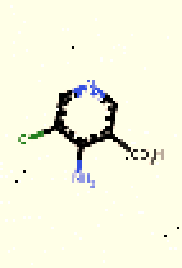 Nc1c(Cl)cncc1C(=O)O